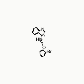 Brc1ccccc1OCCNc1ncnc2ccccc12